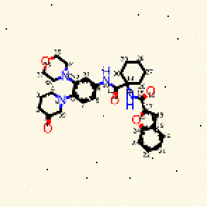 O=C1CCCN(c2ccc(NC(=O)C3(NC(=O)c4cc5ccccc5o4)CCCCC3)cc2N2CCOCC2)C1